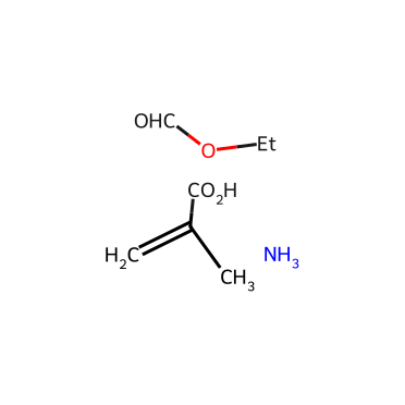 C=C(C)C(=O)O.CCOC=O.N